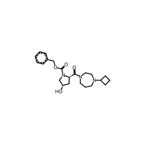 O=C([C@H]1C[C@@H](O)CN1C(=O)OCc1ccccc1)N1CCCN(C2CCC2)CC1